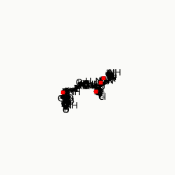 NC1(C(=O)NC(CCN2CCN(C(=O)CCCCNc3cccc4c3C(=O)N(C3CCC(=O)NC3=O)C4=O)CC2)c2ccc(Cl)cc2)CCN(c2ncnc3[nH]ccc23)CC1